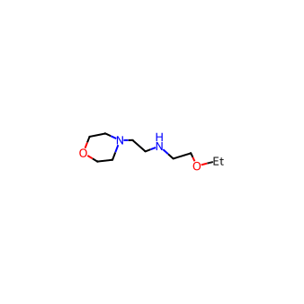 CCOCCNCCN1CCOCC1